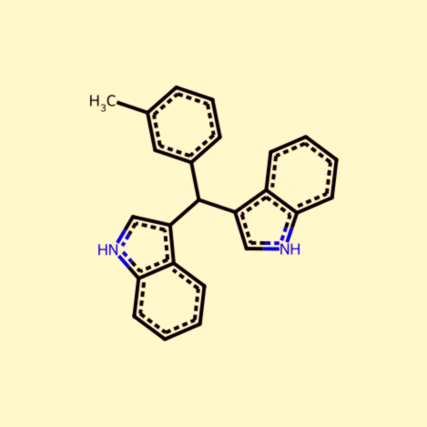 Cc1cccc(C(c2c[nH]c3ccccc23)c2c[nH]c3ccccc23)c1